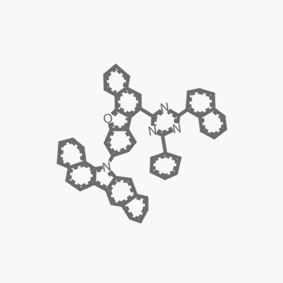 c1ccc(-c2nc(-c3cccc4ccccc34)nc(-c3cc4ccccc4c4oc5cc(-n6c7cc8ccccc8cc7c7ccc8ccccc8c76)ccc5c34)n2)cc1